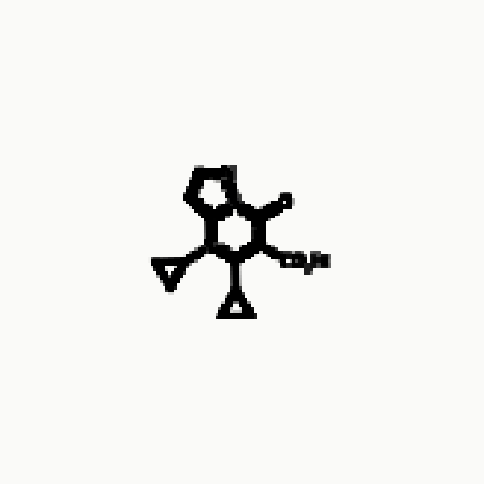 CCOC(=O)c1c(C2CC2)n(C2CC2)c2ccnn2c1=O